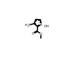 COC(=O)c1sccc1N.Cl